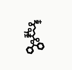 CC(=O)NC(CCCC([NH])=O)C(=O)OC(c1ccccc1)c1ccccc1